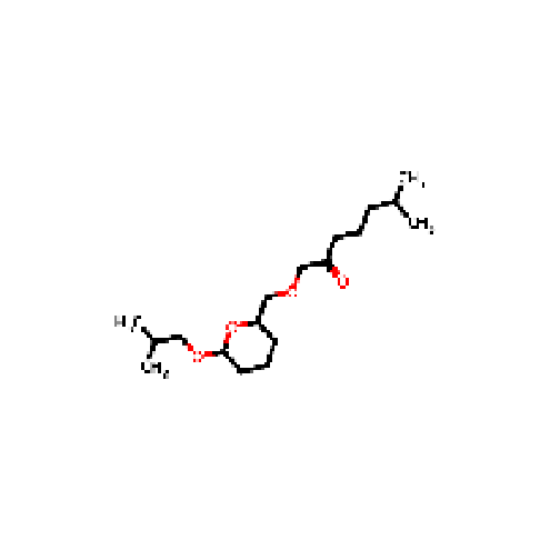 CC(C)CCCC(=O)COCC1CCCC(OCC(C)C)O1